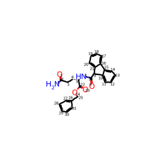 NC(=O)CC[C@H](NC(=O)C1c2ccccc2-c2ccccc21)C(=O)OCc1ccccc1